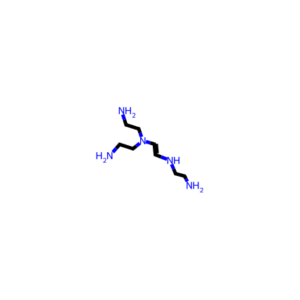 NCCN/C=C/N(CCN)CCN